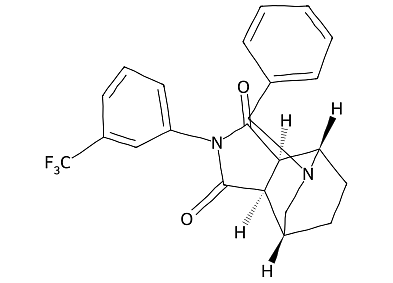 O=C1[C@@H]2[C@H]3CC[C@@H]([C@@H]2C(=O)N1c1cccc(C(F)(F)F)c1)N(Cc1ccccc1)C3